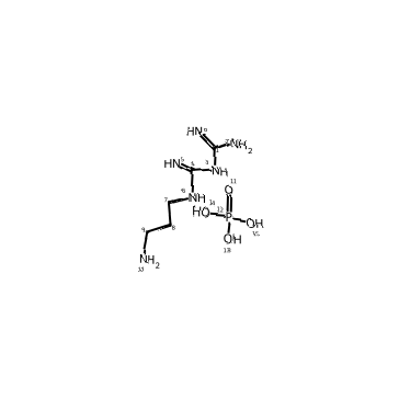 N=C(N)NC(=N)NCCCN.O=P(O)(O)O